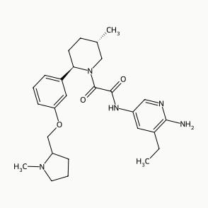 CCc1cc(NC(=O)C(=O)N2C[C@@H](C)CC[C@@H]2c2cccc(OCC3CCCN3C)c2)cnc1N